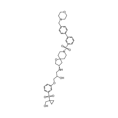 O=S(=O)(c1cccc(-c2ccc(CN3CCOCC3)cc2)c1)N1CCC2(CC1)C[C@@H](NCC(O)COc1cccc(S(=O)(=O)C3(CO)CC3)c1)CO2